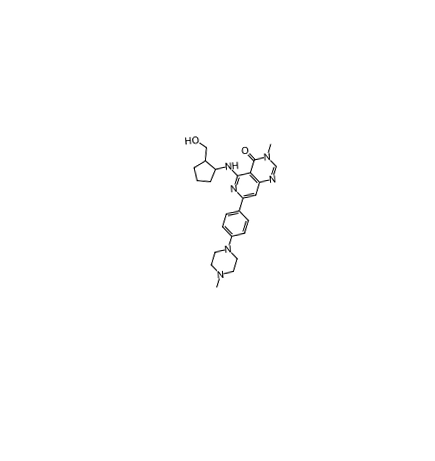 CN1CCN(c2ccc(-c3cc4ncn(C)c(=O)c4c(NC4CCCC4CO)n3)cc2)CC1